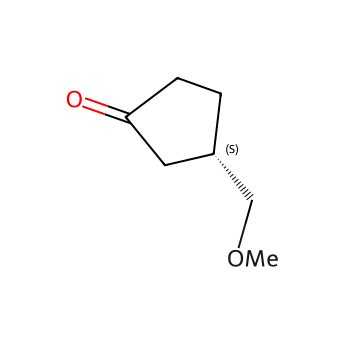 COC[C@H]1CCC(=O)C1